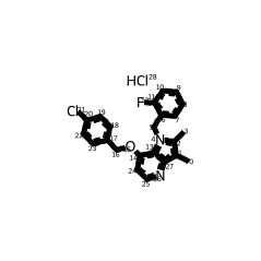 Cc1c(C)n(Cc2ccccc2F)c2c(OCc3ccc(Cl)cc3)ccnc12.Cl